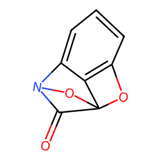 O=C1N2OC13Oc1cccc2c13